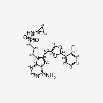 Nc1ncnc2c1nc(SC1=COC(c3ccccc3I)O1)n2CCCS(=O)(=O)NC1CC1